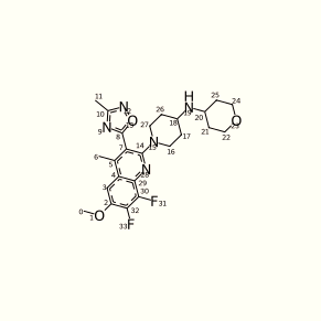 COc1cc2c(C)c(-c3nc(C)no3)c(N3CCC(NC4CCOCC4)CC3)nc2c(F)c1F